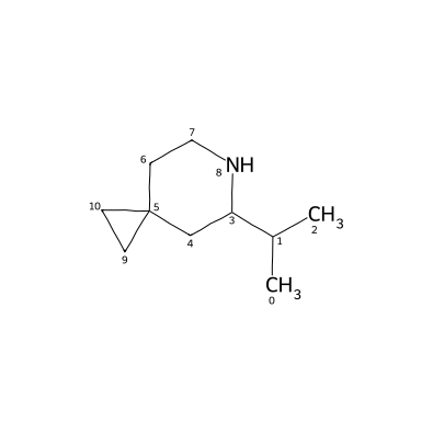 CC(C)C1CC2(CCN1)CC2